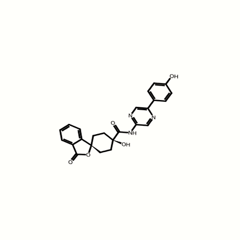 O=C1O[C@]2(CC[C@@](O)(C(=O)Nc3cnc(-c4ccc(O)cc4)cn3)CC2)c2ccccc21